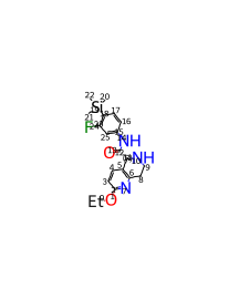 CCOc1ccc2c(n1)CCN[C@H]2C(=O)Nc1ccc([Si](C)(C)C)c(F)c1